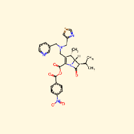 CC(C)[C@H]1C(=O)N2C(C(=O)OC(=O)c3ccc([N+](=O)[O-])cc3)=C(CN(Cc3cccnc3)Cc3cscn3)[C@H](C)[C@H]12